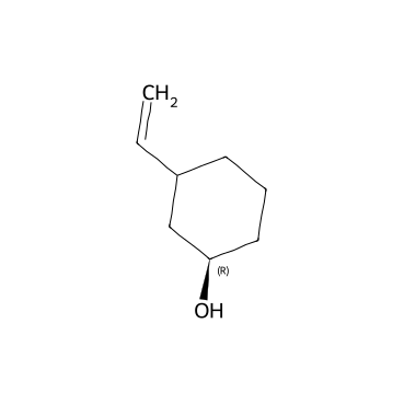 C=CC1CCC[C@@H](O)C1